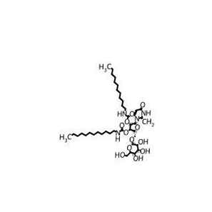 C=C1NC(=O)C=CN1[C@@H]1O[C@H](CO[C@@H]2OC(CO)[C@@H](O)[C@H](O)C2O)C(OC(=O)NCCCCCCCCCCCC)[C@@H]1OC(=O)NCCCCCCCCCCCC